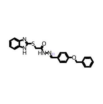 O=C(CSc1nc2ccccc2[nH]1)N/N=C/c1ccc(OCc2ccccc2)cc1